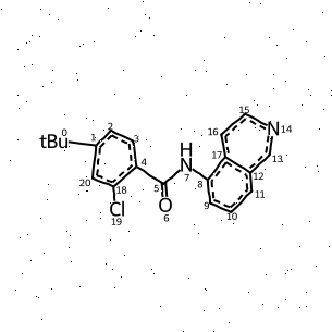 CC(C)(C)c1ccc(C(=O)Nc2cccc3cnccc23)c(Cl)c1